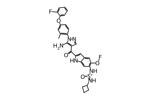 Cc1cc(Oc2ccccc2F)ccc1-n1ncc(C(=O)c2cc3cc(OF)c(N[S+]([O-])NC4CCC4)cc3[nH]2)c1N